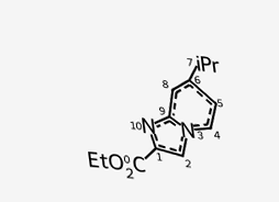 CCOC(=O)c1cn2ccc(C(C)C)cc2n1